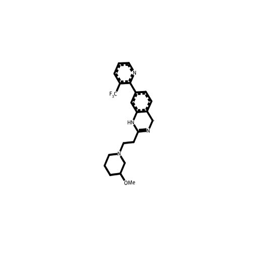 COC1CCCN(CCC2=N[CH]c3ccc(-c4ncccc4C(F)(F)F)cc3N2)C1